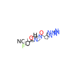 Cc1c([C@@H]2CN3CCN(C(=O)C4CCc5nc(-n6cnnn6)ncc54)C[C@H]3CO2)ccc(F)c1C#N